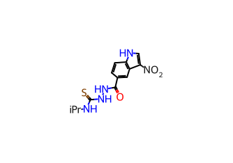 CC(C)NC(=S)NNC(=O)c1ccc2[nH]cc([N+](=O)[O-])c2c1